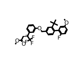 COC(=O)C[C@@H](c1cccc(OCc2ccc(-c3cc(OC)ccc3F)c(C(C)(C)C)c2)c1)C(F)(F)F